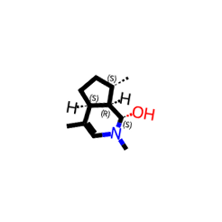 CC1=CN(C)[C@@H](O)[C@H]2[C@@H]1CC[C@@H]2C